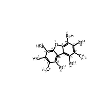 Cc1[c]([RaH])[c]([RaH])c2oc3[c]([RaH])[c]([RaH])c(C)[c]([RaH])c3c2[c]1[RaH]